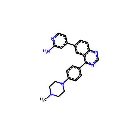 CN1CCN(c2ccc(-c3ncnc4ccc(-c5ccnc(N)c5)cc34)cc2)CC1